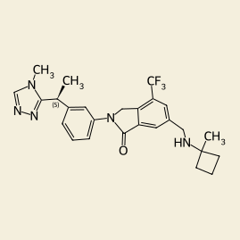 C[C@@H](c1cccc(N2Cc3c(cc(CNC4(C)CCC4)cc3C(F)(F)F)C2=O)c1)c1nncn1C